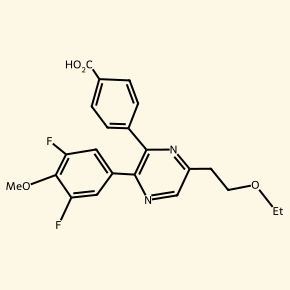 CCOCCc1cnc(-c2cc(F)c(OC)c(F)c2)c(-c2ccc(C(=O)O)cc2)n1